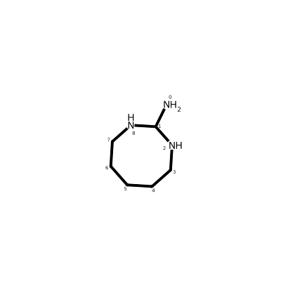 NC1NCCCCCN1